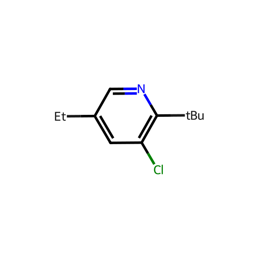 CCc1cnc(C(C)(C)C)c(Cl)c1